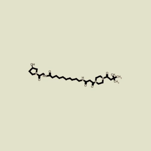 CC(C)(C)CC(=O)N1CCN(C(=O)CC(=O)NCCCCCCCCCC(=O)NCC(=O)N2CC[C@@H](O)C2)CC1